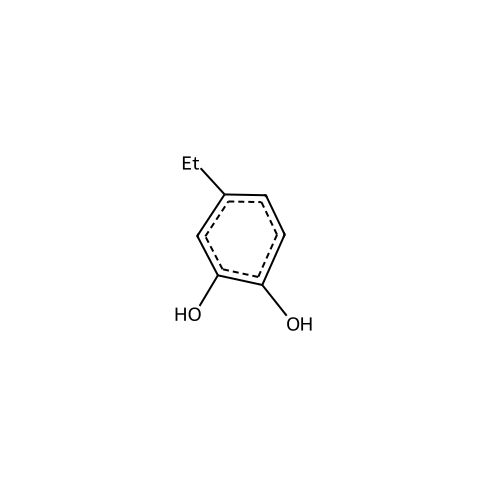 CCc1ccc(O)c(O)c1